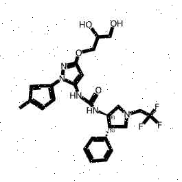 Cc1ccc(-n2nc(OCC(O)CO)cc2NC(=O)N[C@H]2CN(CC(F)(F)F)C[C@@H]2c2ccccc2)cc1